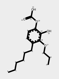 CCCCCCc1ccc(OC(=O)O)c(O)c1OCCC